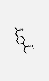 CCC(N)C1CCC(CC(C)P)CC1